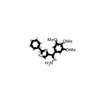 COc1cc(C(=NN)c2coc(-c3ccccc3)n2)cc(OC)c1OC